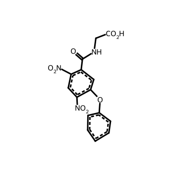 O=C(O)CNC(=O)c1cc(Oc2ccccc2)c([N+](=O)[O-])cc1[N+](=O)[O-]